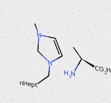 CCCCCCCCN1C=CN(C)C1.C[C@H](N)C(=O)O